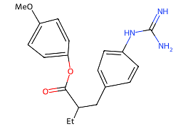 CCC(Cc1ccc(NC(=N)N)cc1)C(=O)Oc1ccc(OC)cc1